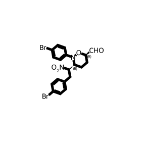 O=C[C@H]1CC[C@H](C(Cc2ccc(Br)cc2)[N+](=O)[O-])N(c2ccc(Br)cc2)O1